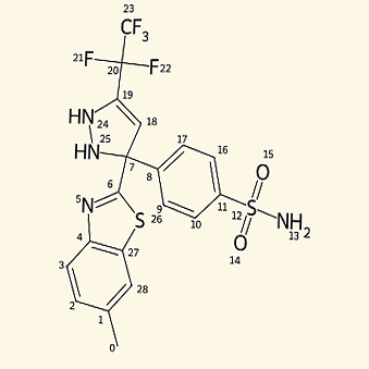 Cc1ccc2nc(C3(c4ccc(S(N)(=O)=O)cc4)C=C(C(F)(F)C(F)(F)F)NN3)sc2c1